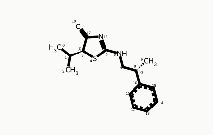 CC(C)[C@@H]1SC(NC[C@H](C)c2ccccc2)=NC1=O